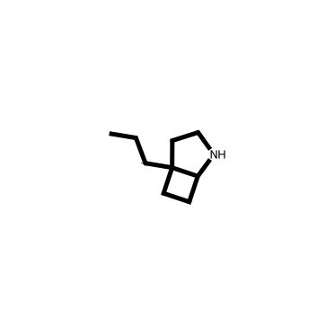 CC[CH]C12CCNC1CC2